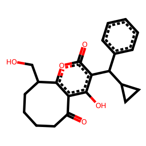 O=C1CCCCC(CO)c2oc(=O)c(C(c3ccccc3)C3CC3)c(O)c21